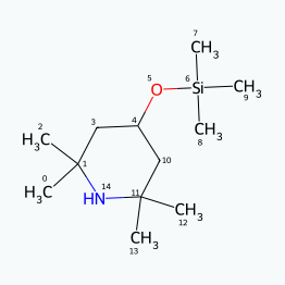 CC1(C)CC(O[Si](C)(C)C)CC(C)(C)N1